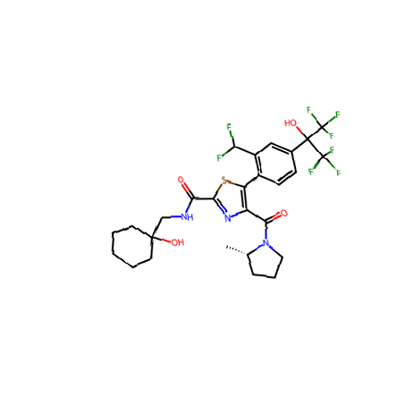 C[C@H]1CCCN1C(=O)c1nc(C(=O)NCC2(O)CCCCC2)sc1-c1ccc(C(O)(C(F)(F)F)C(F)(F)F)cc1C(F)F